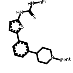 CCCNC(=S)Nc1ccc(-c2cccc(C3CCN(C(C)CCC)CC3)c2)s1